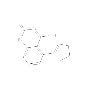 Nc1nc(=O)[nH]c2cccc(C3=CCCC3)c12